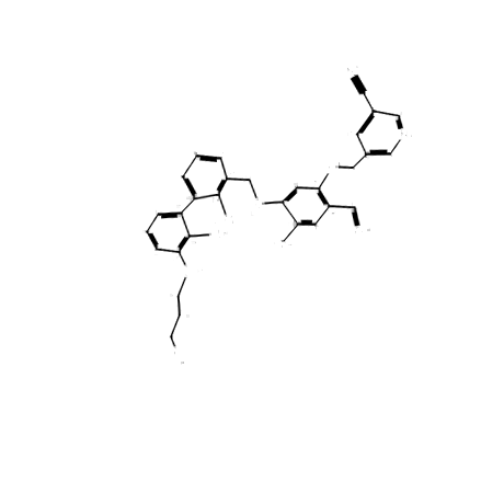 N#Cc1cncc(COc2cc(OCc3cccc(-c4cccc(OCCCCl)c4Cl)c3Cl)c(Cl)cc2C=O)c1